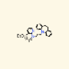 CCOC(=O)c1cccnc1N(C)CCCN1c2ccccc2CCc2ccccc21